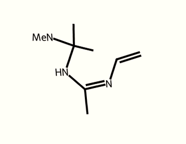 C=C/N=C(/C)NC(C)(C)NC